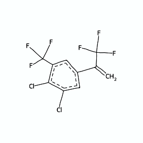 C=C(c1cc(Cl)c(Cl)c(C(F)(F)F)c1)C(F)(F)F